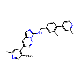 Cc1cc(-c2ccc(CNc3ncc4cc(-c5cc(C)ncc5C=O)cnn34)cc2C)ccn1